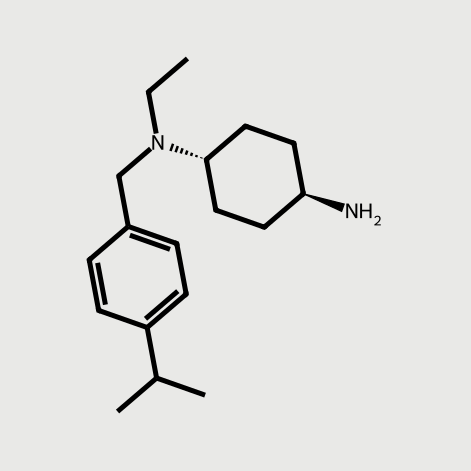 CCN(Cc1ccc(C(C)C)cc1)[C@H]1CC[C@H](N)CC1